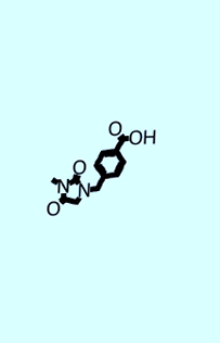 CN1C(=O)CN(Cc2ccc(C(=O)O)cc2)C1=O